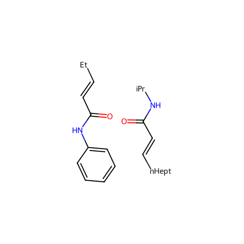 CCC=CC(=O)Nc1ccccc1.CCCCCCCC=CC(=O)NC(C)C